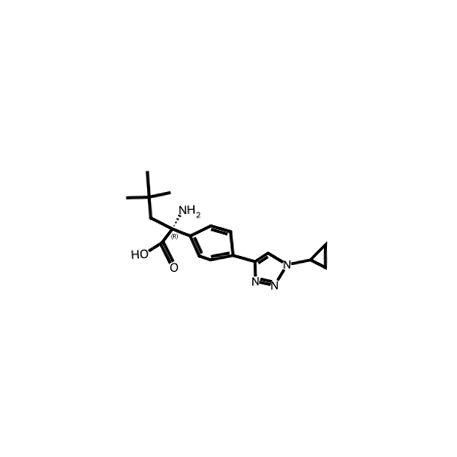 CC(C)(C)C[C@](N)(C(=O)O)c1ccc(-c2cn(C3CC3)nn2)cc1